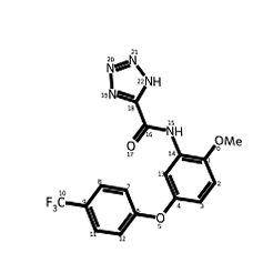 COc1ccc(Oc2ccc(C(F)(F)F)cc2)cc1NC(=O)c1nnn[nH]1